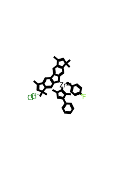 CC1=CC(C)(C)c2cc3c(cc21)-c1cc2c(cc1[CH]3/[Zr+2](=[CH]/c1ccc(F)cc1)[C]1=C(C)C(c3ccccc3)=CC1C)C(C)(C)C=C2C.[Cl-].[Cl-]